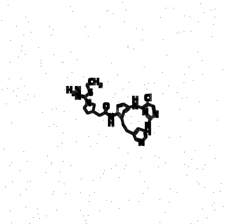 C=CS/C(=N\N)N1CCC(CC(=O)Nc2ccc3cc2CCc2cncc(c2)Nc2ncc(Cl)c(n2)N3)C1